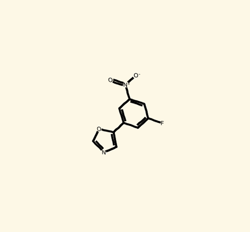 O=[N+]([O-])c1cc(F)cc(-c2cnco2)c1